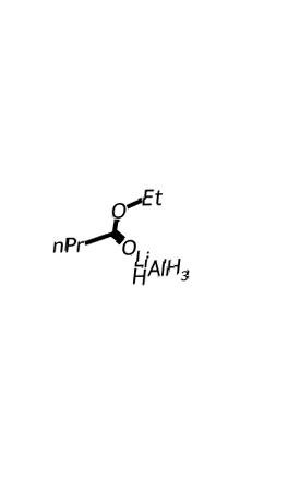 CCCC(=O)OCC.[AlH3].[LiH]